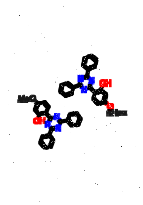 CCCCCCOc1ccc(-c2nc(-c3ccccc3)nc(-c3ccccc3)n2)c(O)c1.COc1ccc(-c2nc(-c3ccccc3)nc(-c3ccccc3)n2)c(O)c1